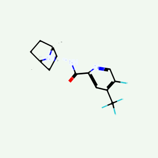 O=C(N[C@@H]1C[C@H]2CC[C@@H]1N2)c1cc(C(F)(F)F)c(F)cn1